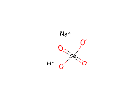 O=[Se](=O)([O-])[O-].[H+].[Na+]